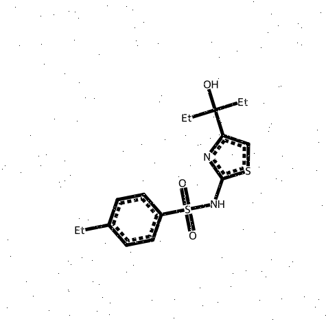 CCc1ccc(S(=O)(=O)Nc2nc(C(O)(CC)CC)cs2)cc1